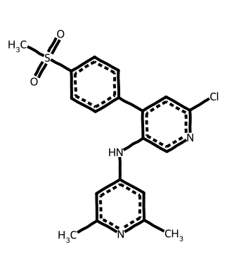 Cc1cc(Nc2cnc(Cl)cc2-c2ccc(S(C)(=O)=O)cc2)cc(C)n1